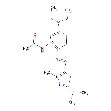 CCN(CC)c1ccc(N=Nc2sc(C(C)C)n[n+]2C)c(NC(C)=O)c1